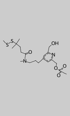 CSSC(C)(C)CCC(=O)N(C)CCCc1cc(CO)nc(COS(C)(=O)=O)c1